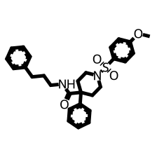 COc1ccc(S(=O)(=O)N2CCC(C(=O)NCCCc3ccccc3)(c3ccccc3)CC2)cc1